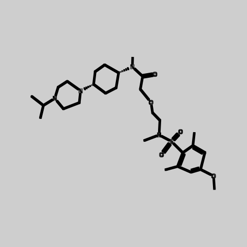 COc1cc(C)c(S(=O)(=O)N(C)CCOCC(=O)N(C)[C@H]2CC[C@@H](N3CCN(C(C)C)CC3)CC2)c(C)c1